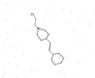 ClCC[n+]1ccc(/C=C/c2ccccc2)cc1